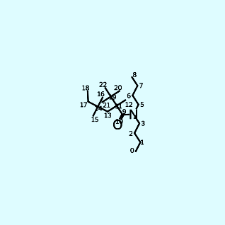 CCCCN(CCCC)C(=O)C(C)(CC(C)(C)CC)C(C)(C)C